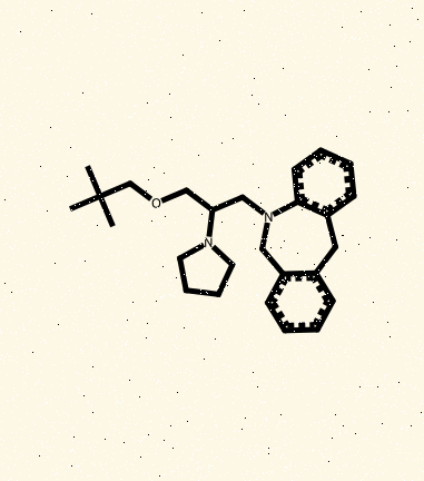 CC(C)(C)COCC(CN1Cc2ccccc2Cc2ccccc21)N1CCCC1